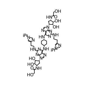 CC(C)n1cnc(CCNc2nc(N[C@H]3CC[C@H](Nc4nc(NCCc5cn(C(C)C)cn5)nc5c4ncn5[C@@H]4C[C@H](NC(=O)CO)[C@@H](O)[C@H]4O)CC3)c3ncn([C@@H]4C[C@H](NC(=O)CO)[C@@H](O)[C@H]4O)c3n2)c1